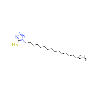 CCCCCCCCCCCCCCCCn1nnnc1S